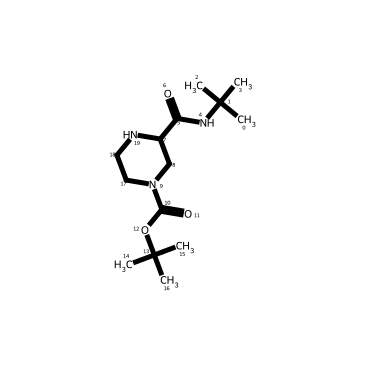 CC(C)(C)NC(=O)C1CN(C(=O)OC(C)(C)C)CCN1